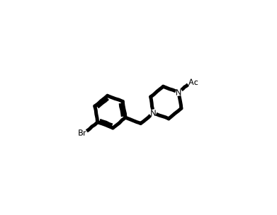 CC(=O)N1CCN(Cc2cccc(Br)c2)CC1